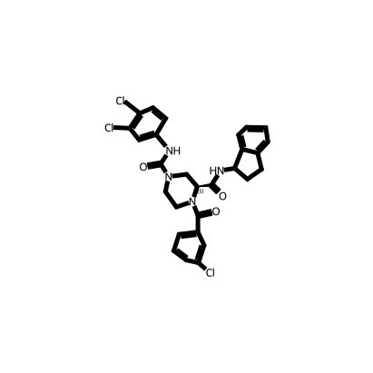 O=C(NC1CCc2ccccc21)[C@@H]1CN(C(=O)Nc2ccc(Cl)c(Cl)c2)CCN1C(=O)c1cccc(Cl)c1